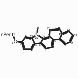 CCCCCOc1ccc2c3ccc4c5ccccc5ccc4c3n(C)c2c1